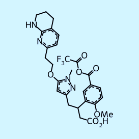 COc1ccc(C(=O)OC(=O)C(F)(F)F)cc1C(CC(=O)O)Cc1cc(OCCc2ccc3c(n2)NCCC3)n(C)n1